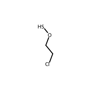 SOCCCl